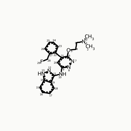 CN(C)CCOc1nnc(Nc2n[nH]c3ccccc23)cc1-c1ccccc1CF